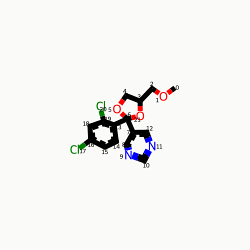 COCC1COC(c2cncnc2)(c2ccc(Cl)cc2Cl)O1